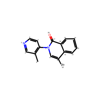 Cc1cnccc1-n1cc(C(C)C)c2ccccc2c1=O